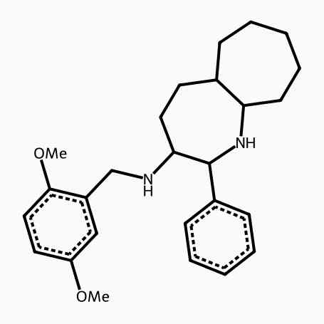 COc1ccc(OC)c(CNC2CCC3CCCCCC3NC2c2ccccc2)c1